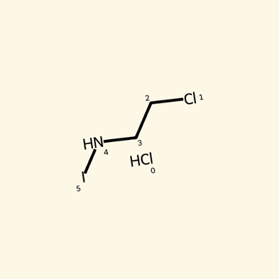 Cl.ClCCNI